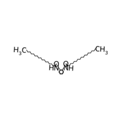 CCCCCCCCCCCCCCCCCC(=O)NCc1ccccc1CNC(=O)CCCCCCCCCCCCCCCCC